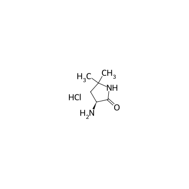 CC1(C)C[C@H](N)C(=O)N1.Cl